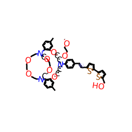 COCCOc1cc(/C=C/c2ccc(-c3ccc(CO)s3)s2)ccc1N1CCOc2cc(C)ccc2N2CCOCCOCCN(COCCOCC2)c2ccc(C)cc2OCC1